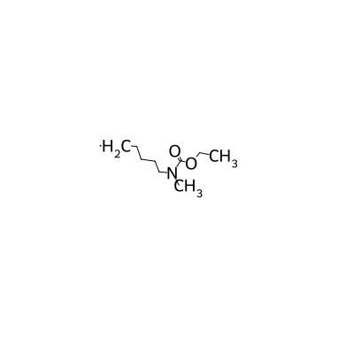 [CH2]CCCCN(C)C(=O)OCC